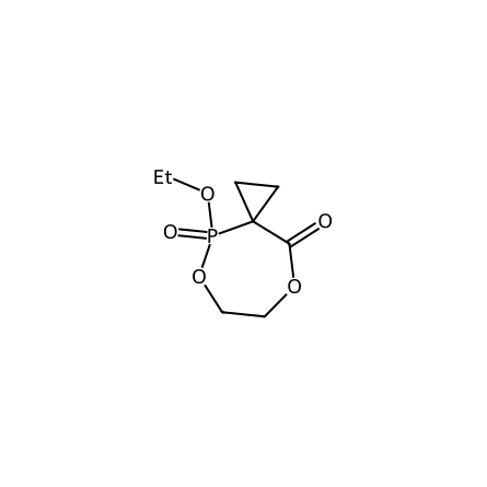 [CH2]COP1(=O)OCCOC(=O)C12CC2